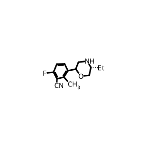 CC[C@@H]1COC(c2ccc(F)c(C#N)c2C)CN1